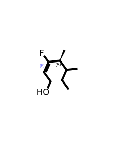 CCC(C)[C@H](C)/C(F)=C\CO